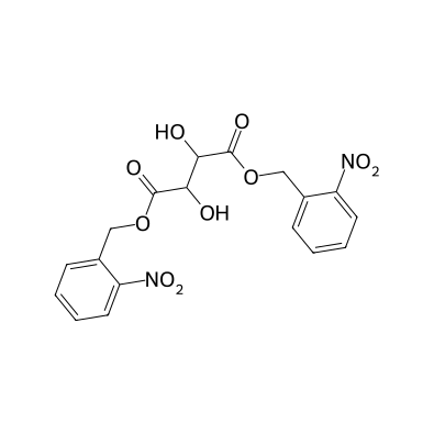 O=C(OCc1ccccc1[N+](=O)[O-])C(O)C(O)C(=O)OCc1ccccc1[N+](=O)[O-]